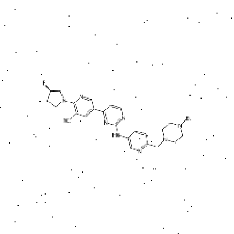 CCN1CCN(Cc2ccc(Nc3nccc(-c4cnc(N5CC[C@@H](F)C5)c(C#N)c4)n3)cn2)CC1